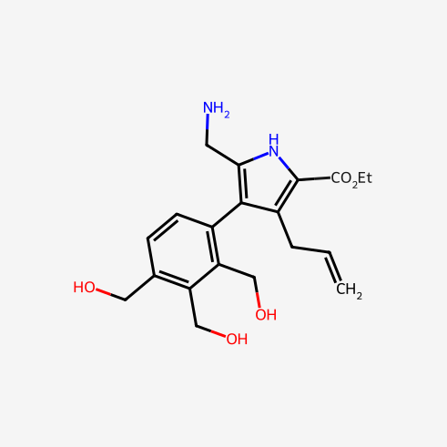 C=CCc1c(C(=O)OCC)[nH]c(CN)c1-c1ccc(CO)c(CO)c1CO